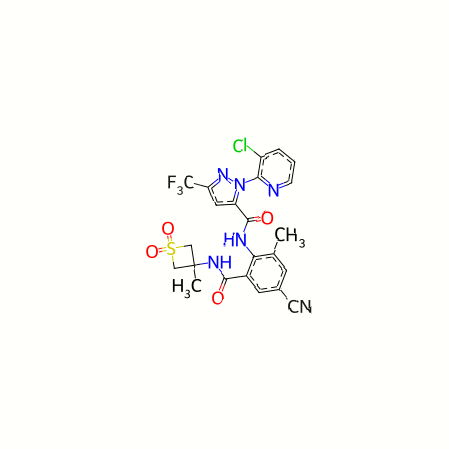 Cc1cc(C#N)cc(C(=O)NC2(C)CS(=O)(=O)C2)c1NC(=O)c1cc(C(F)(F)F)nn1-c1ncccc1Cl